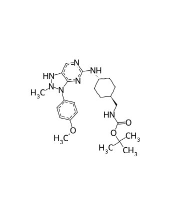 COc1ccc(N2c3nc(N[C@H]4CC[C@H](CNC(=O)OC(C)(C)C)CC4)ncc3NN2C)cc1